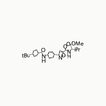 COC(=O)C(NC(=O)c1cc(-c2ccc(NC(=O)c3ccc(C(C)(C)C)cc3)cc2)no1)C(C)C